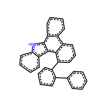 c1ccc(-c2ccccc2-c2cccc3c4ccccc4c4[nH]c5ccccc5c4c23)cc1